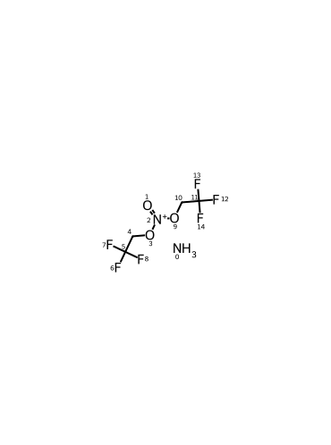 N.O=[N+](OCC(F)(F)F)OCC(F)(F)F